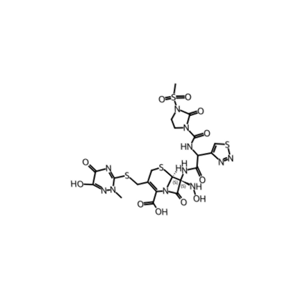 Cn1nc(O)c(=O)nc1SCC1=C(C(=O)O)N2C(=O)[C@@](NO)(NC(=O)C(NC(=O)N3CCN(S(C)(=O)=O)C3=O)c3csnn3)[C@@H]2SC1